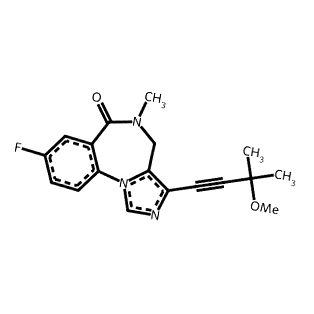 COC(C)(C)C#Cc1ncn2c1CN(C)C(=O)c1cc(F)ccc1-2